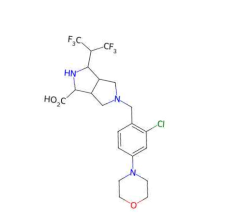 O=C(O)C1NC(C(C(F)(F)F)C(F)(F)F)C2CN(Cc3ccc(N4CCOCC4)cc3Cl)CC12